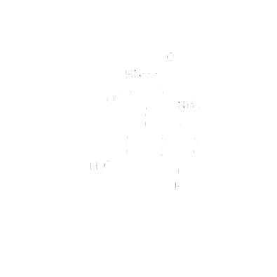 C=C/C=C(\c1cc(F)ccc1N)C1CC(=O)NC1=O